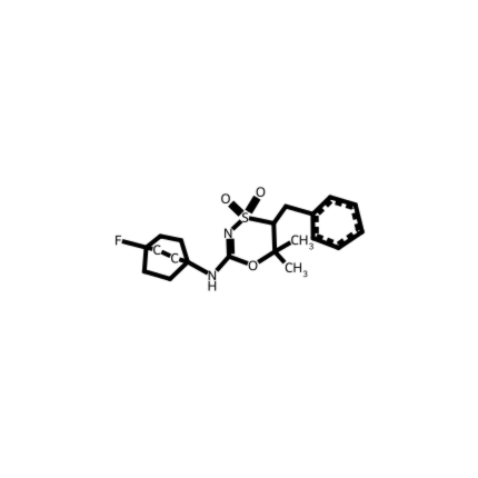 CC1(C)OC(NC23CCC(F)(CC2)CC3)=NS(=O)(=O)C1Cc1ccccc1